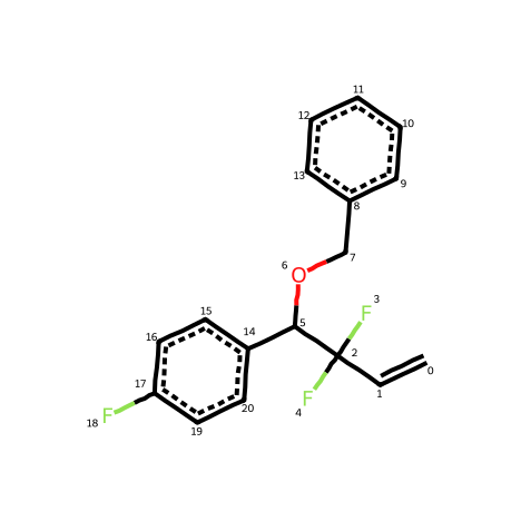 C=CC(F)(F)C(OCc1ccccc1)c1ccc(F)cc1